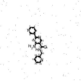 Nc1nc(-c2cccnc2)ncc1C(=O)NCc1ccccn1